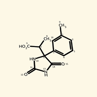 Cc1cccc(C2(C(C)C(=O)O)NC(=O)NC2=O)c1